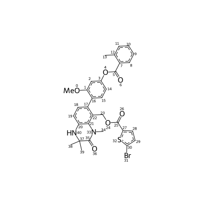 COc1cc(OC(=O)c2ccccc2C)ccc1-c1ccc2c(c1COC(=O)c1ccc(Br)s1)N(C)C(=O)C(C)(C)N2